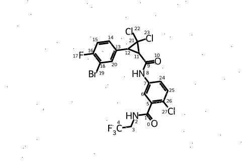 O=C(NCC(F)(F)F)c1cc(NC(=O)C2C(c3ccc(F)c(Br)c3)C2(Cl)Cl)ccc1Cl